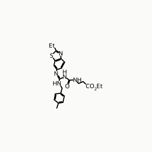 CCOC(=O)CCNC(=O)N/C(=N\c1ccc2nc(CC)sc2c1)NCc1ccc(C)cc1